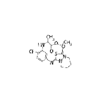 CCOC(=O)C(C)Nc1cc(N=c2sc(=O)n3n2CCCC3)ccc1Cl